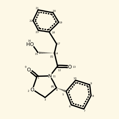 O=C1OC[C@@H](c2ccccc2)N1C(=O)[C@H](CO)Cc1ccccc1